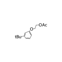 CC(=O)OCCOc1cccc(C(C)(C)C)c1